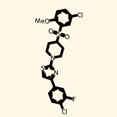 COc1ccc(Cl)cc1S(=O)(=O)C1CCN(c2nc(-c3ccc(Cl)c(F)c3)cs2)CC1